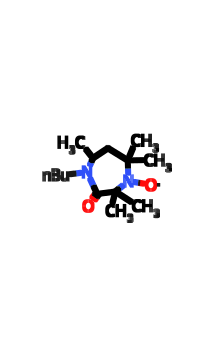 CCCCN1C(=O)C(C)(C)N([O])C(C)(C)CC1C